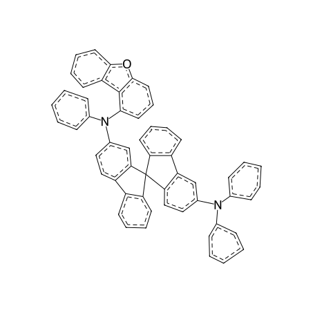 c1ccc(N(c2ccccc2)c2ccc3c(c2)-c2ccccc2C32c3ccccc3-c3ccc(N(c4ccccc4)c4cccc5oc6ccccc6c45)cc32)cc1